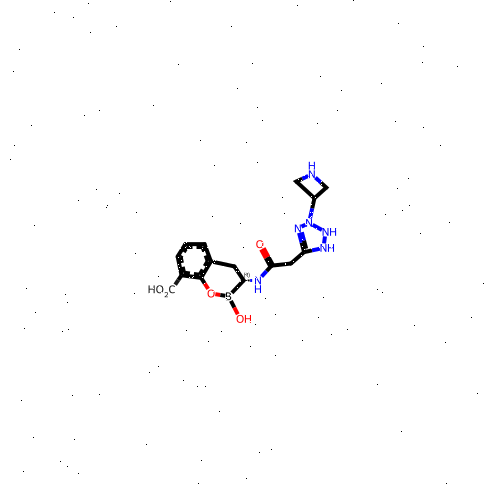 O=C(CC1=NN(C2CNC2)NN1)N[C@H]1Cc2cccc(C(=O)O)c2OB1O